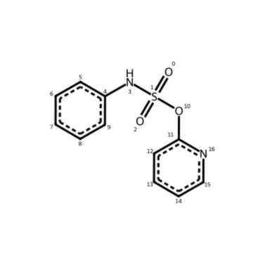 O=S(=O)(Nc1ccccc1)Oc1ccccn1